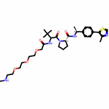 CNCCOCCOCCOCC(=O)NC(C(=O)N1CCC[C@H]1C(=O)N[C@@H](C)c1ccc(-c2scnc2C)cc1)C(C)(C)C